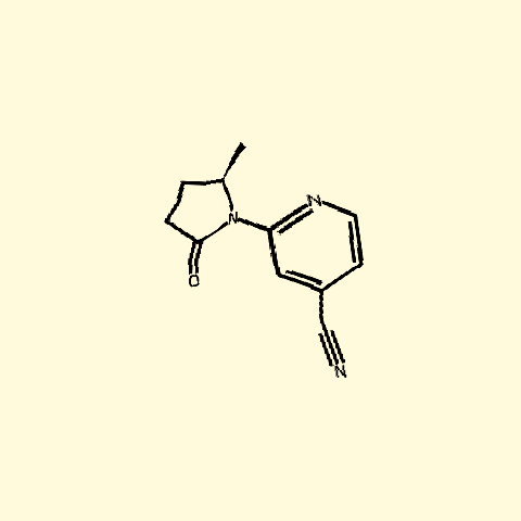 C[C@@H]1CCC(=O)N1c1cc(C#N)ccn1